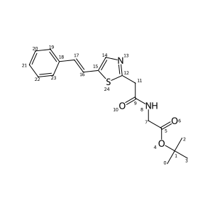 CC(C)(C)OC(=O)CNC(=O)Cc1ncc(/C=C/c2ccccc2)s1